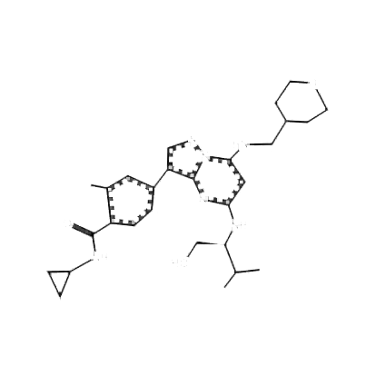 Cc1cc(-c2cnn3c(NCC4CCOCC4)cc(N[C@H](CO)C(C)C)nc23)ccc1C(=O)NC1CC1